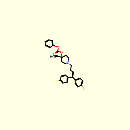 C#CC1(OC(=O)Oc2ccccc2)CCN(CCC=C(c2ccc(F)cc2)c2ccc(F)cc2)CC1